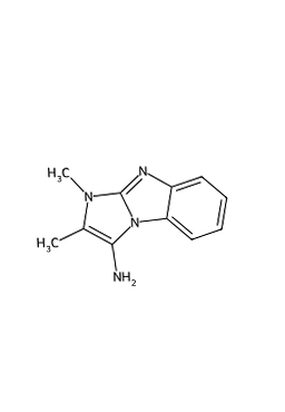 Cc1c(N)n2c3ccccc3nc2n1C